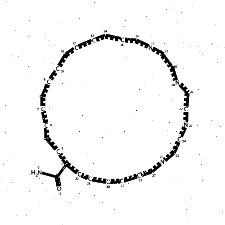 NC(=O)c1cccccccccccccnccnccnccncccccc1